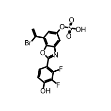 C=C(Br)c1cc(OS(=O)(=O)O)cc2nc(-c3ccc(O)c(F)c3F)oc12